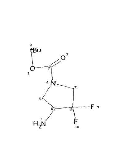 CC(C)(C)OC(=O)N1CC(N)C(F)(F)C1